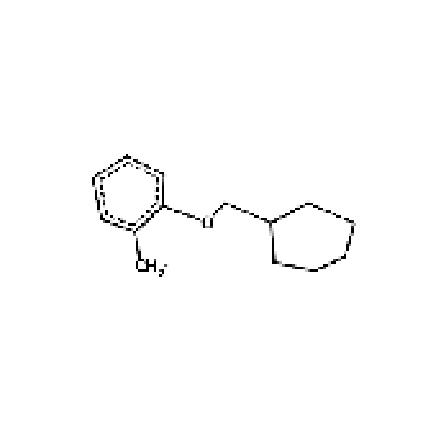 [CH2]c1ccccc1OCC1CCCCC1